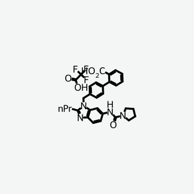 CCCc1nc2ccc(NC(=O)N3CCCC3)cc2n1Cc1ccc(-c2ccccc2C(=O)O)cc1.O=C(O)C(F)(F)F